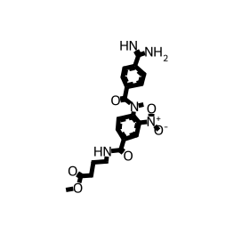 COC(=O)CCCNC(=O)c1ccc(N(C)C(=O)c2ccc(C(=N)N)cc2)c([N+](=O)[O-])c1